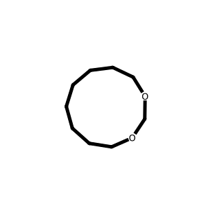 C1CCCCOCOCCC1